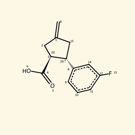 C=C1C[C@H](C(=O)O)[C@@H](c2cccc(F)c2)C1